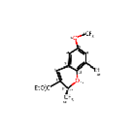 CCOC(=O)C1=Cc2cc(OC(F)(F)F)cc(CC)c2O[C@H]1C(F)(F)F